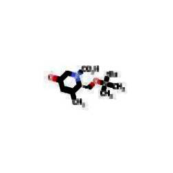 CC1=CC(=O)CN(C(=O)O)[C@@H]1CO[Si](C)(C)C(C)(C)C